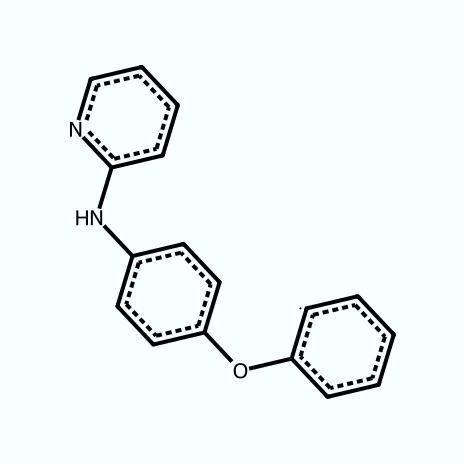 [c]1ccccc1Oc1ccc(Nc2ccccn2)cc1